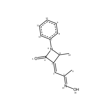 CC(/C=C1/C(=O)N(c2ccccc2)C1C)=N\O